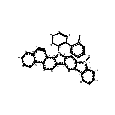 Cc1ccccc1C1=C(n2c3cc4c(cc3c3ccc5c(c#cc6ccccc65)c32)c2ccccc2n4C)CCC=C1